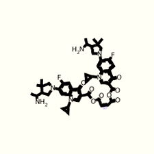 CC(N)C1CN(c2cc3c(cc2F)c(=O)c(C(=O)OC(=O)/C=C\C(=O)OC(=O)c2cn(C4CC4)c4cc(N5CC(C(C)N)C(C)(C)C5)c(F)cc4c2=O)cn3C2CC2)CC1(C)C